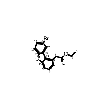 CCOC(=O)Cc1cccc2oc3ccc(Br)cc3c12